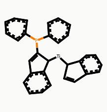 C1=C[CH]([Ti][CH]2C(P(c3ccccc3)c3ccccc3)=Cc3ccccc32)c2ccccc21